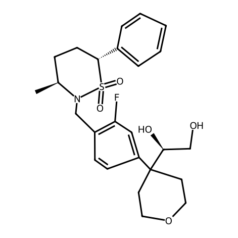 C[C@H]1CC[C@H](c2ccccc2)S(=O)(=O)N1Cc1ccc(C2([C@@H](O)CO)CCOCC2)cc1F